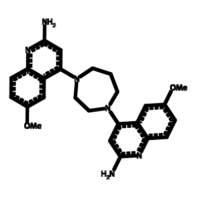 COc1ccc2nc(N)cc(N3CCCN(c4cc(N)nc5ccc(OC)cc45)CC3)c2c1